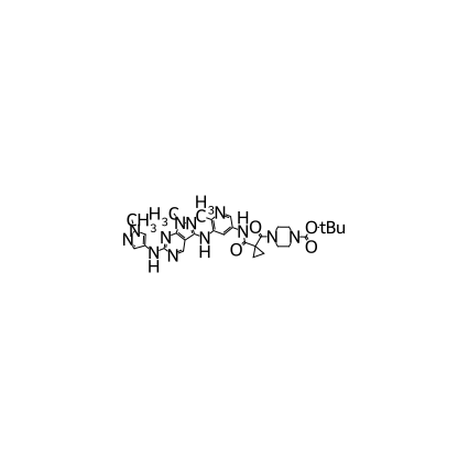 Cc1ncc(NC(=O)C2(C(=O)N3CCN(C(=O)OC(C)(C)C)CC3)CC2)cc1Nc1nn(C)c2nc(Nc3cnn(C)c3)ncc12